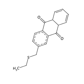 CCSCc1ccc2c(c1)C(=O)C1C=CC=CC1C2=O